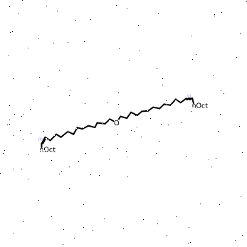 CCCCCCCC/C=C\CCCCCCCCCCCCOCCCCCCCCCCCC/C=C\CCCCCCCC